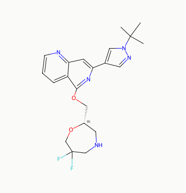 CC(C)(C)n1cc(-c2cc3ncccc3c(OC[C@@H]3CNCC(F)(F)CO3)n2)cn1